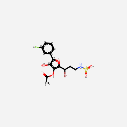 CC(=O)Oc1c(C(Br)CCN[SH](=O)=O)oc(-c2cccc(F)c2)c1O